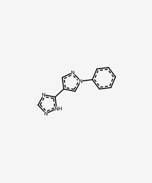 [c]1n[nH]c(-c2cnn(-c3ccccc3)c2)n1